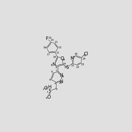 O=[SH](=O)Cc1ccc(-c2nc(-c3ccc(F)cc3)oc2Sc2ccc(Cl)cn2)nn1